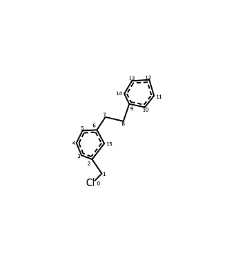 ClCc1cccc(CCc2ccccc2)c1